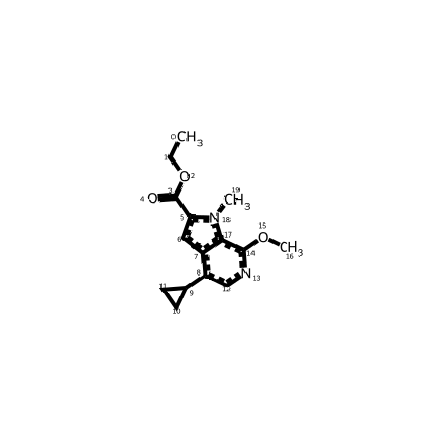 CCOC(=O)c1cc2c(C3CC3)cnc(OC)c2n1C